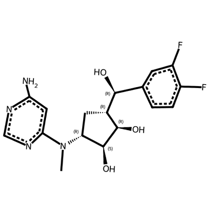 CN(c1cc(N)ncn1)[C@@H]1C[C@H]([C@@H](O)c2ccc(F)c(F)c2)[C@@H](O)[C@H]1O